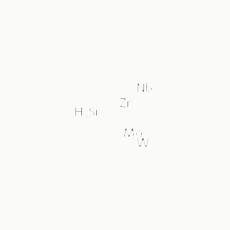 [Nb].[SiH3][Mo].[W].[Zr]